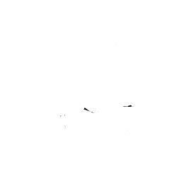 CN1CC[C@@]23c4c5ccc(O)c4O[C@@H]2C(=O)CCC3C1C5